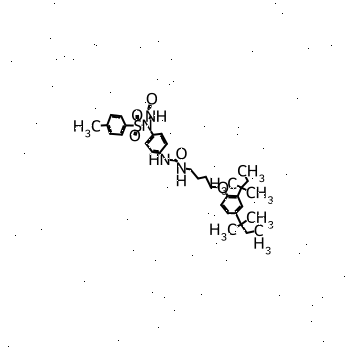 CCC(C)(C)c1ccc(OCCCCNC(=O)Nc2ccc(N(NC=O)S(=O)(=O)c3ccc(C)cc3)cc2)c(C(C)(C)CC)c1